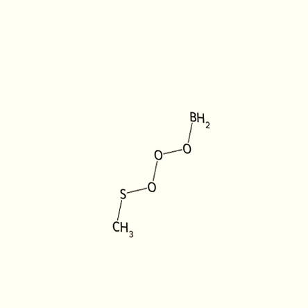 BOOOSC